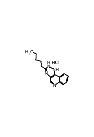 CCCCCC1=Nc2cnc3ccccc3c2NN1.Cl